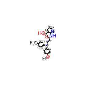 CCOc1ccc(/C(=C/C=C/C(=O)Nc2ncccc2CO)c2ccc(C(F)(F)F)cc2)cc1